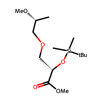 COC(=O)[C@H](COC[C@@H](C)OC)O[Si](C)(C)C(C)(C)C